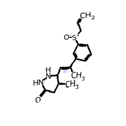 C=CC[S+]([O-])c1cccc(/C(C)=C/C2NNC(=O)CC2C)c1